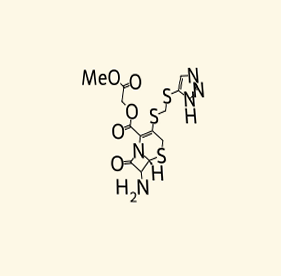 COC(=O)COC(=O)C1=C(SCSc2cnn[nH]2)CS[C@@H]2C(N)C(=O)N12